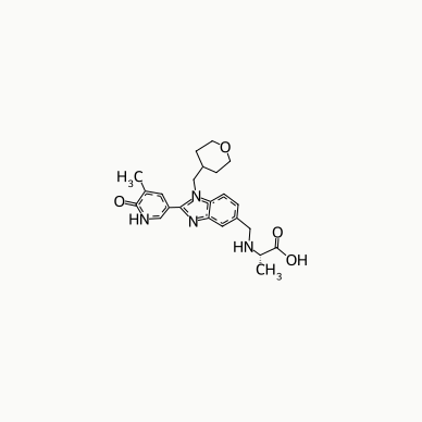 Cc1cc(-c2nc3cc(CN[C@@H](C)C(=O)O)ccc3n2CC2CCOCC2)c[nH]c1=O